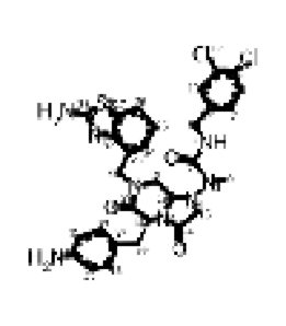 CN(C(=O)NCc1ccc(Cl)c(Cl)c1)N1CC(=O)N2C1CN(Cc1cccc3sc(N)nc13)C(=O)[C@@H]2Cc1ccc(N)cc1